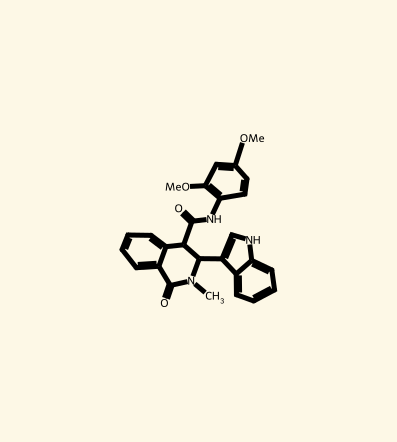 COc1ccc(NC(=O)C2c3ccccc3C(=O)N(C)C2c2c[nH]c3ccccc23)c(OC)c1